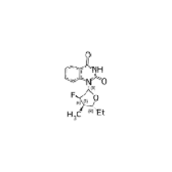 CC[C@H]1O[C@@H](n2c(=O)[nH]c(=O)c3ccccc32)[C@H](F)[C@@H]1C